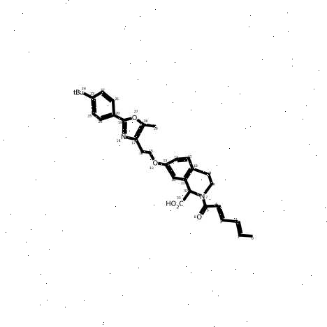 CC=CC=CC(=O)N1CCc2ccc(OCCc3nc(-c4ccc(C(C)(C)C)cc4)oc3C)cc2C1C(=O)O